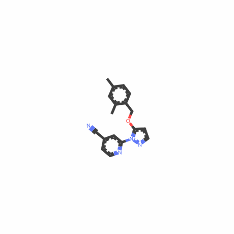 Cc1ccc(COc2ccnn2-c2cc(C#N)ccn2)c(C)c1